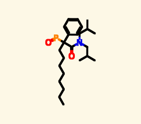 CCCCCCCCC(P=O)(C(=O)N(CC(C)C)CC(C)C)c1ccccc1